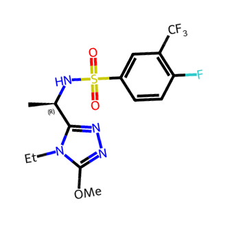 CCn1c(OC)nnc1[C@@H](C)NS(=O)(=O)c1ccc(F)c(C(F)(F)F)c1